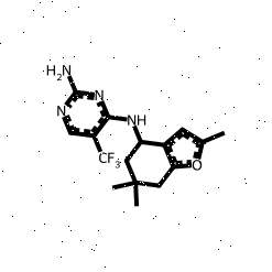 Cc1cc2c(o1)CC(C)(C)CC2Nc1nc(N)ncc1C(F)(F)F